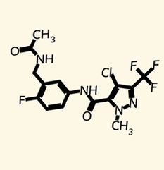 CC(=O)NCc1cc(NC(=O)c2c(Cl)c(C(F)(F)F)nn2C)ccc1F